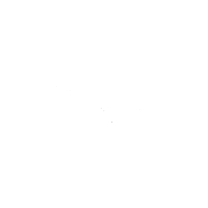 CC(=O)CC(=O)OCC(O)CN(CS)CC(O)COC(=O)CC(C)O